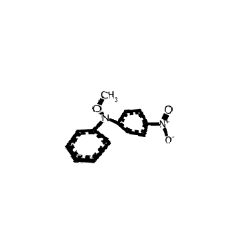 CON(c1ccccc1)c1ccc([N+](=O)[O-])cc1